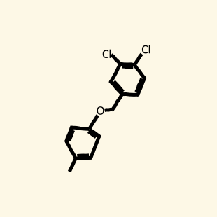 Cc1ccc(OCc2ccc(Cl)c(Cl)c2)cc1